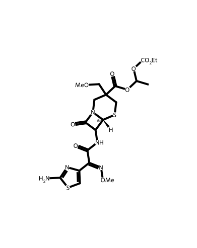 CCOC(=O)OC(C)OC(=O)C1(COC)CS[C@@H]2C(NC(=O)C(=NOC)c3csc(N)n3)C(=O)N2C1